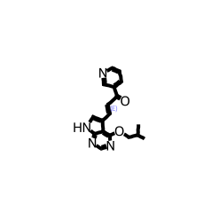 CC(C)COc1ncnc2[nH]cc(/C=C/C(=O)c3cccnc3)c12